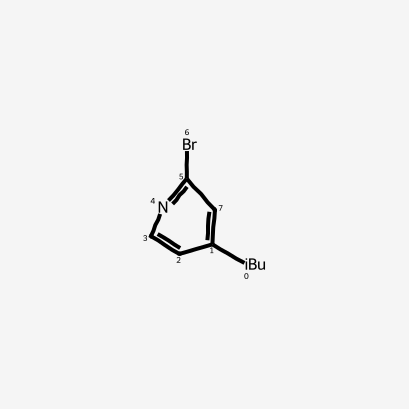 CCC(C)c1ccnc(Br)c1